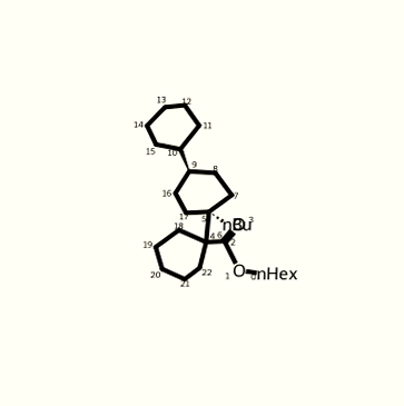 CCCCCCOC(=O)C1([C@]2(CCCC)CC[C@H](C3CCCCC3)CC2)CCCCC1